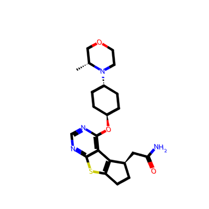 C[C@@H]1COCCN1[C@H]1CC[C@H](Oc2ncnc3sc4c(c23)[C@@H](CC(N)=O)CC4)CC1